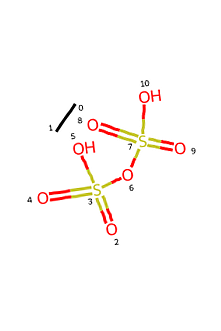 CC.O=S(=O)(O)OS(=O)(=O)O